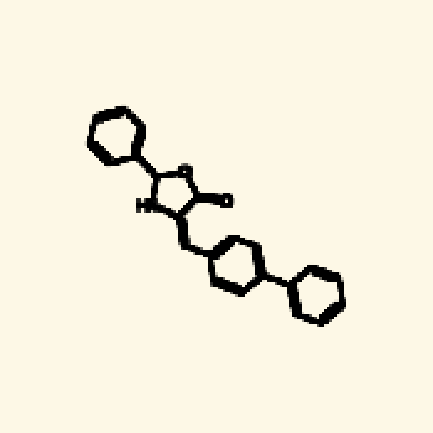 O=C1OC(c2ccccc2)N/C1=C/c1ccc(-c2ccccc2)cc1